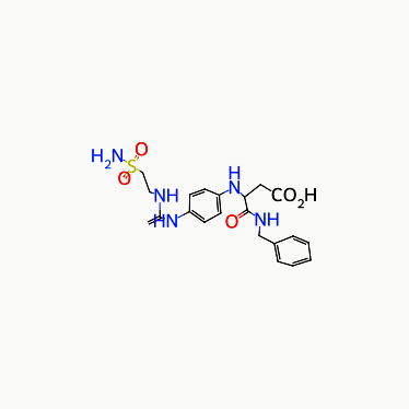 C=C(NCCS(N)(=O)=O)Nc1ccc(NC(CC(=O)O)C(=O)NCc2ccccc2)cc1